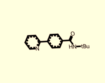 CC(C)(C)NC(=O)c1ccc(-c2ccccn2)cc1